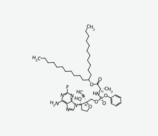 C#C[C@]1(COP(=O)(N[C@@H](C)C(=O)OC(CCCCCCCCCCC)CCCCCCCCCCC)Oc2ccccc2)OCC[C@@]1(O)n1cnc2c(N)nc(F)nc21